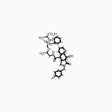 CCOC(=O)[C@H](C)NP(=O)(CO[C@H](C)CNC(=O)c1c2c(c(O)c3ncccc13)C(=O)N(Cc1ccc(F)cc1)C2)Oc1ccccc1